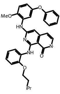 COc1ccc(Oc2ccccc2)cc1Nc1cc2c(c(Nc3ccccc3OCCC(C)C)n1)C(=O)[N]C=C2